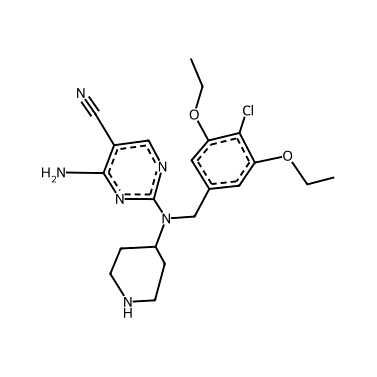 CCOc1cc(CN(c2ncc(C#N)c(N)n2)C2CCNCC2)cc(OCC)c1Cl